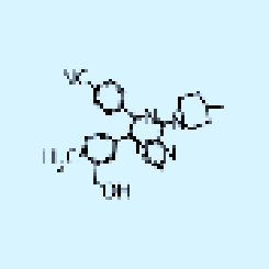 Cc1ccc(-c2c(-c3ccc(C#N)cc3)nc(N3CCC(I)CC3)c3nccn23)cc1CO